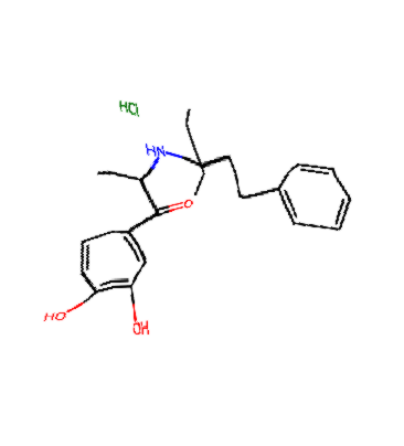 CC(NC(C)(C)CCc1ccccc1)C(=O)c1ccc(O)c(O)c1.Cl